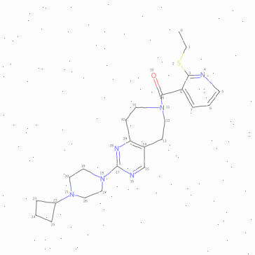 CCSc1ncccc1C(=O)N1CCc2cnc(N3CCN(C4CCC4)CC3)nc2CC1